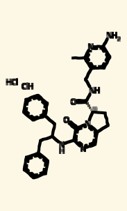 Cc1nc(N)ccc1CNC(=O)[C@@H]1CCc2cnc(NC(Cc3ccccc3)Cc3ccccc3)c(=O)n21.Cl.Cl